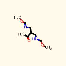 COCNCC(CNCOC)C(C)=O